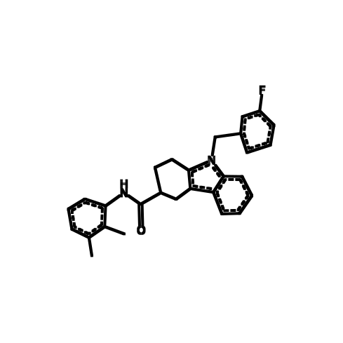 Cc1cccc(NC(=O)C2CCc3c(c4ccccc4n3Cc3cccc(F)c3)C2)c1C